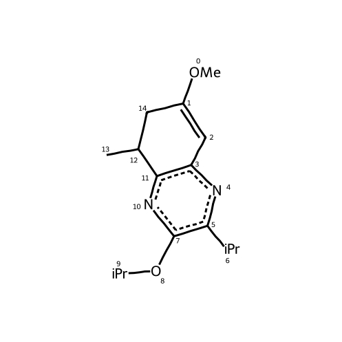 COC1=Cc2nc(C(C)C)c(OC(C)C)nc2C(C)C1